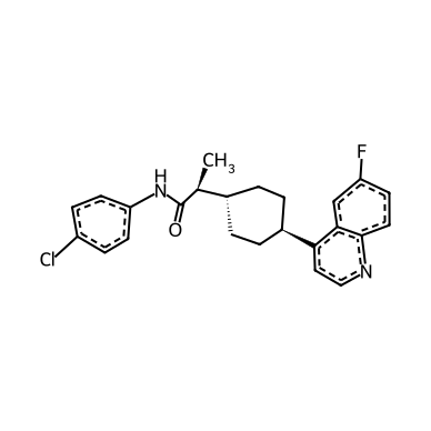 C[C@H](C(=O)Nc1ccc(Cl)cc1)[C@H]1CC[C@H](c2ccnc3ccc(F)cc32)CC1